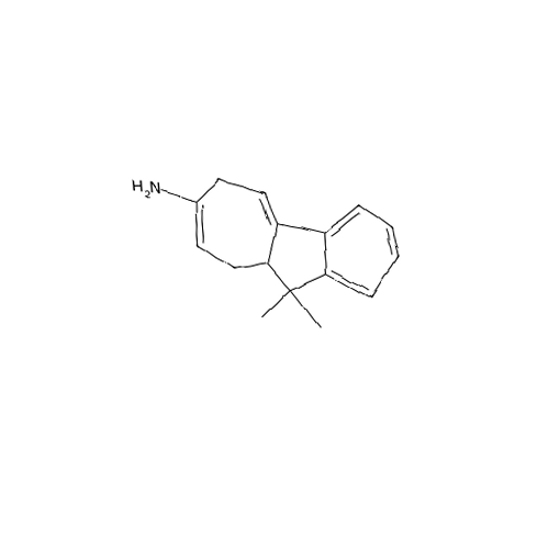 CC1(C)c2ccccc2C2=CCC(N)=CCC21